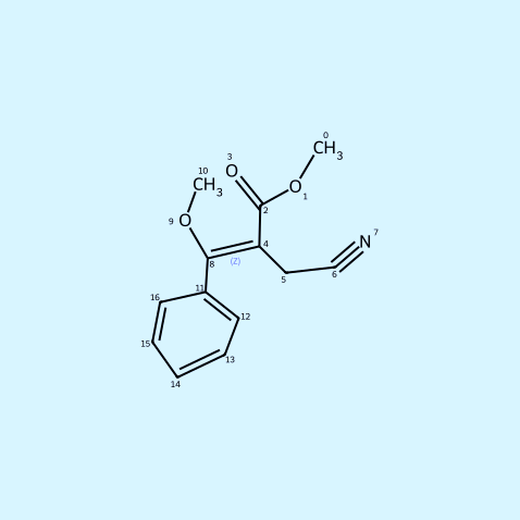 COC(=O)/C(CC#N)=C(\OC)c1ccccc1